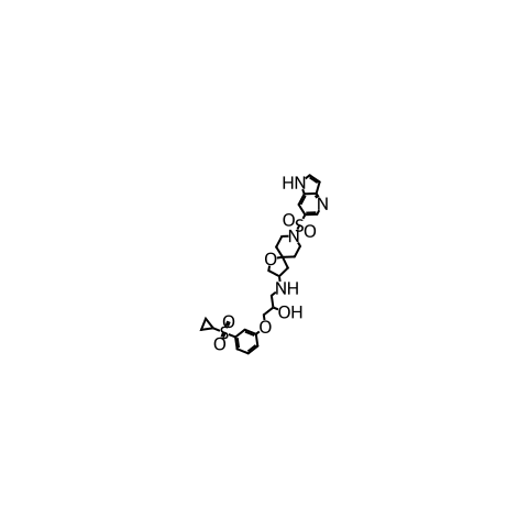 O=S(=O)(c1cccc(OCC(O)CNC2COC3(CCN(S(=O)(=O)c4cnc5cc[nH]c5c4)CC3)C2)c1)C1CC1